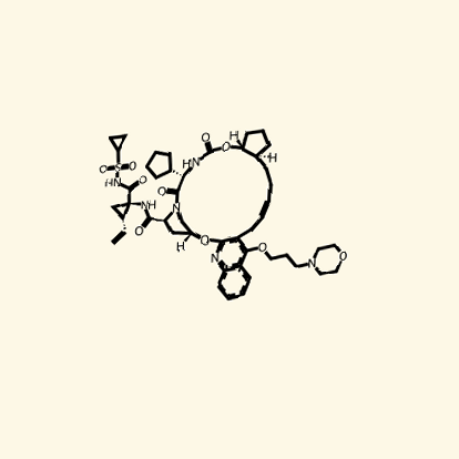 C=C[C@@H]1C[C@]1(NC(=O)[C@@H]1C[C@@H]2CN1C(=O)[C@H](C1CCCC1)NC(=O)O[C@@H]1CCC[C@H]1CCC=CCc1c(nc3ccccc3c1OCCCN1CCOCC1)O2)C(=O)NS(=O)(=O)C1CC1